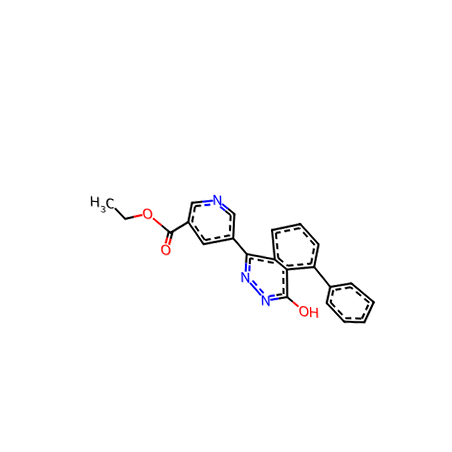 CCOC(=O)c1cncc(-c2nnc(O)c3c(-c4ccccc4)cccc23)c1